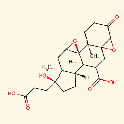 C[C@]12CC3O[C@@]34[C@@H](C(C(=O)O)CC35OC3C(=O)CC[C@@]54C)[C@@H]1CC[C@]2(O)CCC(=O)O